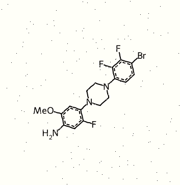 COc1cc(N2CCN(c3ccc(Br)c(F)c3F)CC2)c(F)cc1N